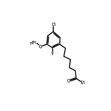 CCCOc1cc(Cl)cc(CCCCCC(=O)CC)c1F